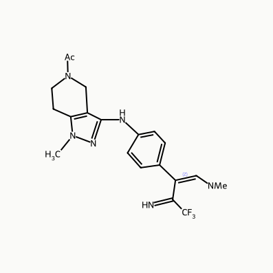 CN/C=C(\C(=N)C(F)(F)F)c1ccc(Nc2nn(C)c3c2CN(C(C)=O)CC3)cc1